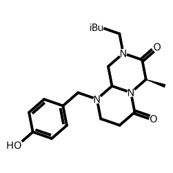 CCC(C)CN1CC2N(Cc3ccc(O)cc3)CCC(=O)N2[C@H](C)C1=O